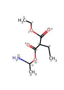 CCOC(=O)C(CC)C(=O)OC(C)N